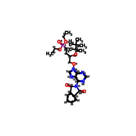 CCOP(=O)(CCC(COn1cnc2c(N3C(=O)c4ccccc4C3=O)ncnc21)O[Si](C)(C)C(C)(C)C)OCC